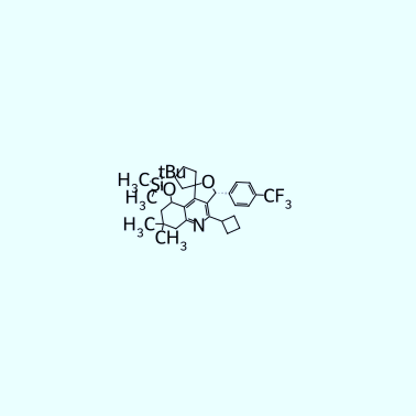 CC1(C)Cc2nc(C3CCC3)c3c(c2C(O[Si](C)(C)C(C)(C)C)C1)C1(CCCC1)O[C@@H]3c1ccc(C(F)(F)F)cc1